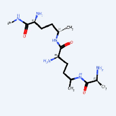 CC(C)NC(=O)[C@@H](N)CC[C@H](C)NC(=O)[C@H](N)CCC(C)NC(=O)[C@@H](N)C(F)(F)F